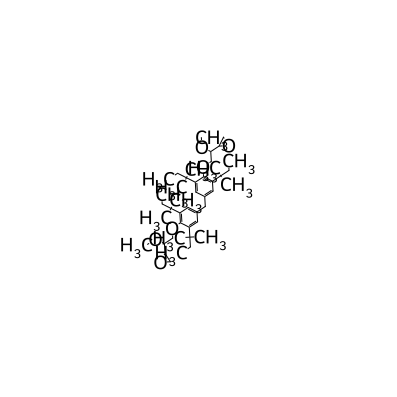 CCC(C)(C)c1cc(Cc2cc(C(C)(C)CC)c(OCC(OC)C3CO3)c(C(C)(C)CC)c2)cc(C(C)(C)CC)c1OCC(OC)C1CO1